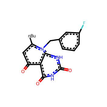 CCCCc1cc(=O)c2c(=O)[nH]c(=O)[nH]c2n1Cc1cccc(F)c1